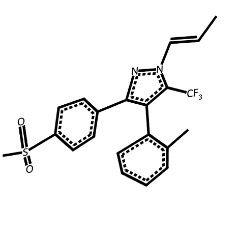 CC=Cn1nc(-c2ccc(S(C)(=O)=O)cc2)c(-c2ccccc2C)c1C(F)(F)F